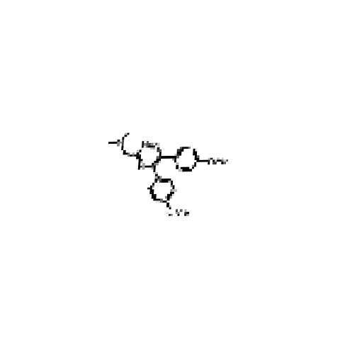 COc1ccc(-c2nnc(CN(C)C)nc2-c2ccc(OC)cc2)cc1